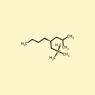 CCCC[C@@H](CC(C)C)C[N+](C)(C)C